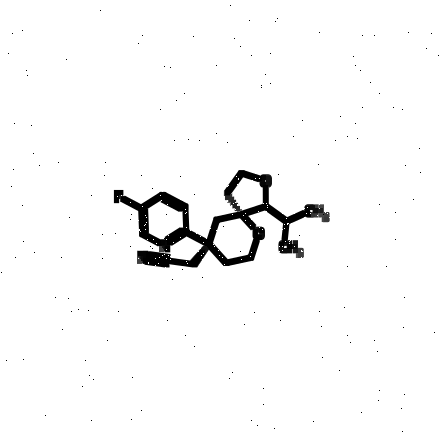 CC(C)C1OCC[C@]12C[C@@](CC#N)(c1ccc(F)cn1)CCO2